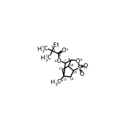 CCC(C)(C)C(=O)OC1C2OS(=O)(=O)C3CC1(C)CC23